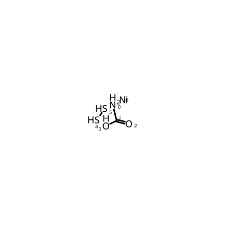 NC(=O)O.SS.[Ni]